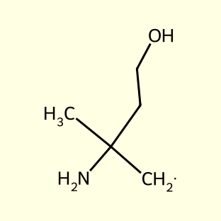 [CH2]C(C)(N)CCO